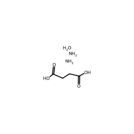 N.N.O.O=C(O)CCC(=O)O